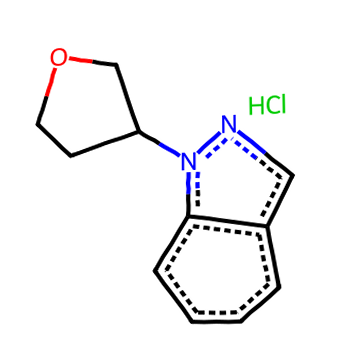 Cl.c1ccc2c(c1)cnn2C1CCOC1